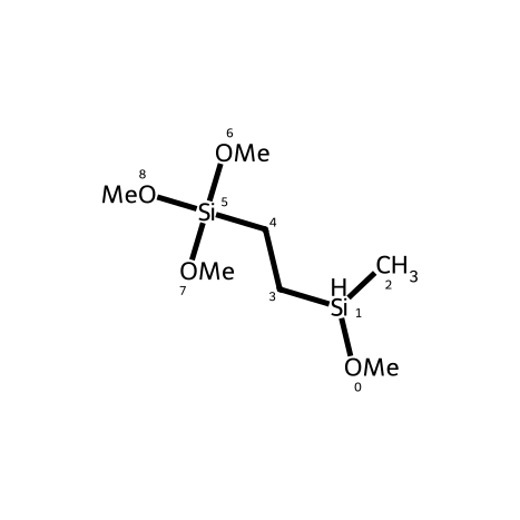 CO[SiH](C)CC[Si](OC)(OC)OC